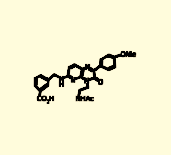 COc1ccc(-c2nc3ccc(NCc4cccc(C(=O)O)c4)nc3n(CCNC(C)=O)c2=O)cc1